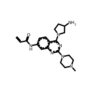 C=CC(=O)Nc1ccc2c(N3CCC(N)C3)nc(N3CCN(C)CC3)nc2c1